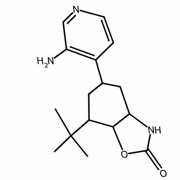 CC(C)(C)C1CC(c2ccncc2N)CC2NC(=O)OC21